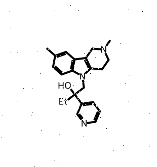 CCC(O)(Cn1c2c(c3cc(C)ccc31)CN(C)CC2)c1cccnc1